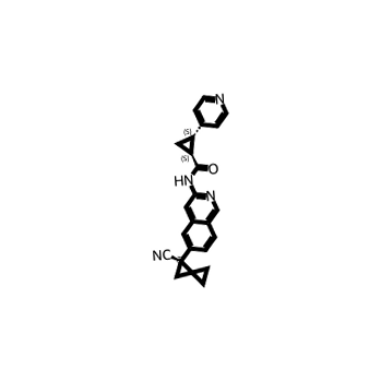 N#C[C@]1(c2ccc3cnc(NC(=O)[C@H]4C[C@@H]4c4ccncc4)cc3c2)CC12CC2